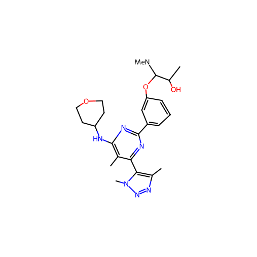 CNC(Oc1cccc(-c2nc(NC3CCOCC3)c(C)c(-c3c(C)nnn3C)n2)c1)C(C)O